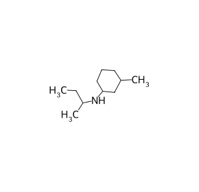 CCC(C)NC1CCCC(C)C1